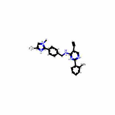 C#Cc1cnc(-c2ccccc2C(C)C)nc1NCc1ccc(-c2nc(C(F)(F)F)cn2C)cc1